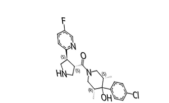 C[C@@H]1CN(C(=O)[C@@H]2CNC[C@H]2c2ccc(F)cn2)C[C@H](C)C1(O)c1ccc(Cl)cc1